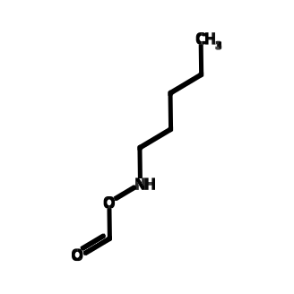 CCCCCNOC=O